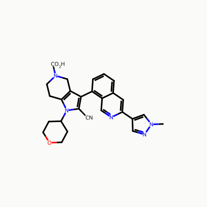 Cn1cc(-c2cc3cccc(-c4c5c(n(C6CCOCC6)c4C#N)CCN(C(=O)O)C5)c3cn2)cn1